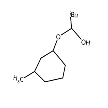 CCC(C)C(O)OC1CCCC(C)C1